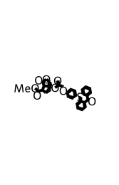 COC(=O)C1C2CC3C(OC(=O)C31)C2OC(=O)COc1ccc(-[s+]2c3ccccc3c(=O)c3ccccc32)cc1